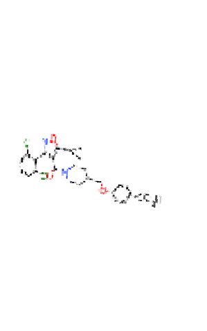 O=C(O)c1ccc(OCC2CCN(C(=O)c3c(-c4c(Cl)cccc4Cl)noc3C3CC3)CC2)cc1